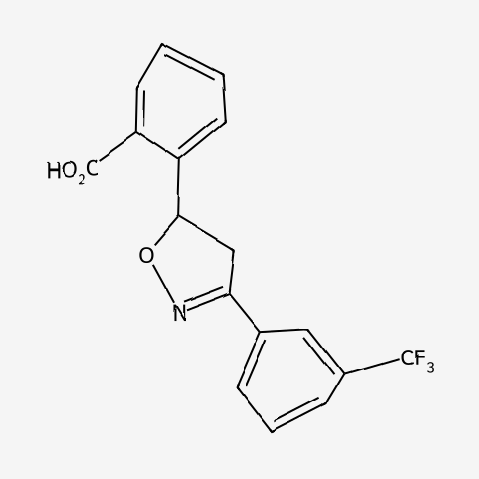 O=C(O)c1ccccc1C1CC(c2cccc(C(F)(F)F)c2)=NO1